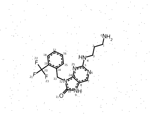 NCCCNc1ncc2[nH]c(=O)n(Cc3ccccc3C(F)(F)F)c2n1